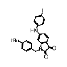 CC(C)(C)c1ccc(CN2C(=O)C(=O)c3ccc(Nc4ccc(F)cc4)cc32)cc1